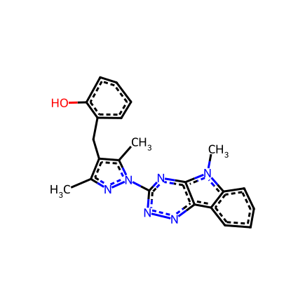 Cc1nn(-c2nnc3c4ccccc4n(C)c3n2)c(C)c1Cc1ccccc1O